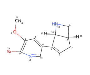 COc1cc(C2=CC[C@@H]3CN[C@H]23)cnc1Br